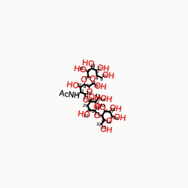 CC(=O)N[C@H]1C(O)[C@H](O[C@@H]2OC(CO)[C@H](O)C(O)[C@@H]2O)C(CO)O[C@H]1O[C@@]1(O)C[C@H](O)[C@H](O[C@@H]2C(CO)OC(O)[C@@H](O)C2O)OC1CO